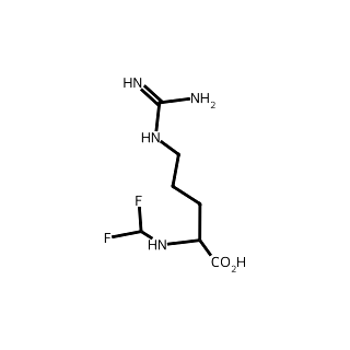 N=C(N)NCCCC(NC(F)F)C(=O)O